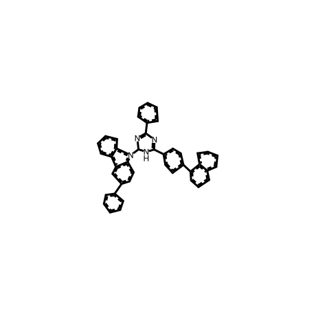 c1ccc(C2=NC(n3c4ccccc4c4cc(-c5ccccc5)ccc43)NC(c3ccc(-c4cccc5ccccc45)cc3)=N2)cc1